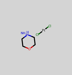 C1COCCN1.N.[Cl][Pt][Cl]